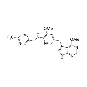 COc1cc(Cc2c[nH]c3ncnc(OC)c23)cnc1NCc1ccc(C(F)(F)F)nc1